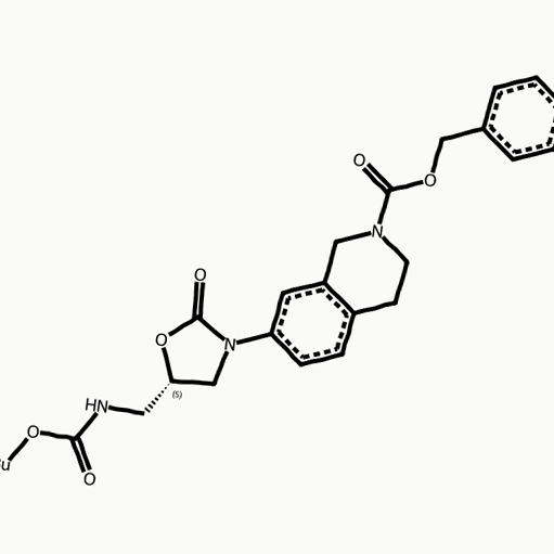 CC(C)(C)OC(=O)NC[C@H]1CN(c2ccc3c(c2)CN(C(=O)OCc2ccccc2)CC3)C(=O)O1